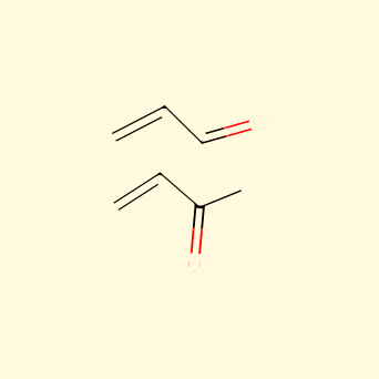 C=CC(C)=O.C=CC=O